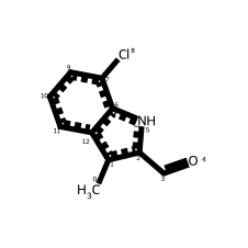 Cc1c(C=O)[nH]c2c(Cl)cccc12